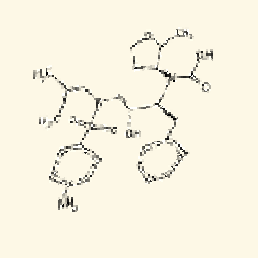 CC(C)CN(C[C@@H](O)[C@H](Cc1ccccc1)N(C(=O)O)[C@H]1CCOC1C)S(=O)(=O)c1ccc(N)cc1